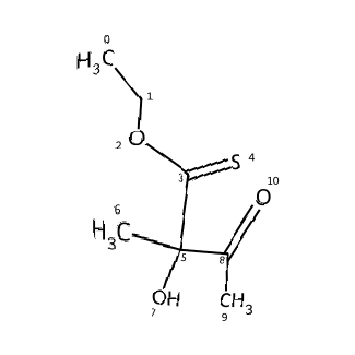 CCOC(=S)C(C)(O)C(C)=O